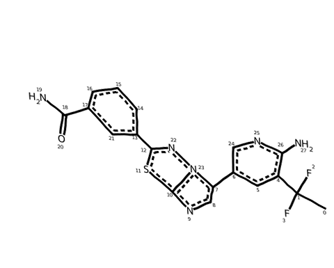 CC(F)(F)c1cc(-c2cnc3sc(-c4cccc(C(N)=O)c4)nn23)cnc1N